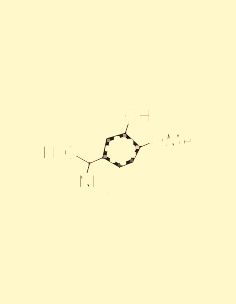 COc1ccc(C(C)N)cc1O